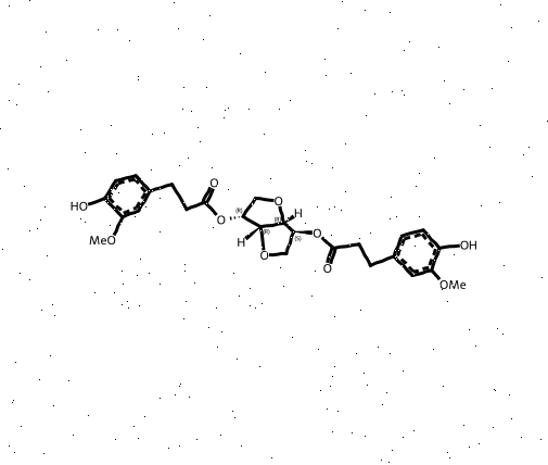 COc1cc(CCC(=O)O[C@H]2CO[C@H]3[C@@H]2OC[C@H]3OC(=O)CCc2ccc(O)c(OC)c2)ccc1O